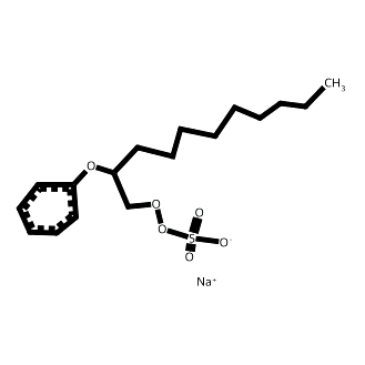 CCCCCCCCCC(COOS(=O)(=O)[O-])Oc1ccccc1.[Na+]